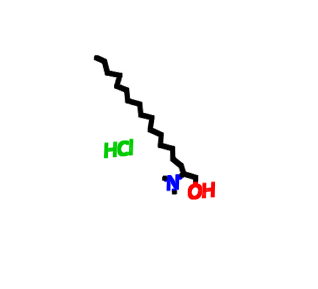 CCCCCCCCCCCCCCCCC(CO)N(C)C.Cl